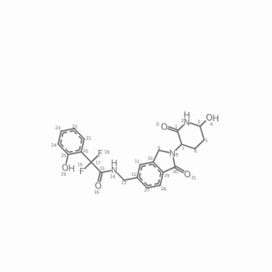 O=C1NC(O)CCC1N1Cc2cc(CNC(=O)C(F)(F)c3ccccc3O)ccc2C1=O